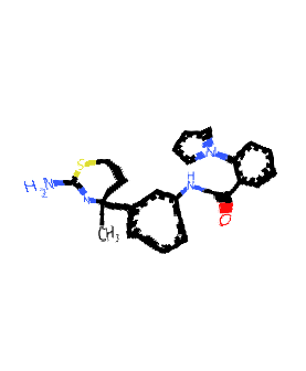 CC1(c2cccc(NC(=O)c3ccccc3-n3cccc3)c2)CCSC(N)=N1